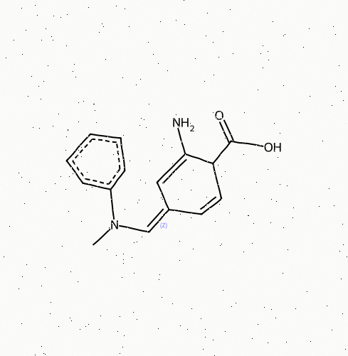 CN(/C=C1/C=CC(C(=O)O)C(N)=C1)c1ccccc1